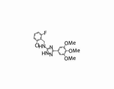 COc1cc(-c2n[nH]c(NCc3c(F)cccc3Cl)n2)cc(OC)c1OC